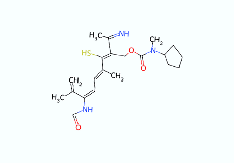 C=C(C)\C(=C/C=C(C)/C(S)=C(\COC(=O)N(C)C1CCCC1)C(C)=N)NC=O